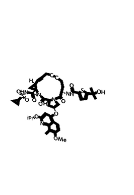 COc1ccc2c(O[C@@H]3C[C@H]4C(=O)N[C@]5(C(=O)NS(=O)(=O)C6CC6)C[C@H]5/C=C\CCCCC[C@H](NC(=O)c5ccc(C(C)(C)O)s5)C(=O)N4C3)cc(OC(C)C)nc2c1C